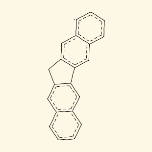 [c]1cccc2cc3c(cc12)Cc1cc2ccccc2cc1-3